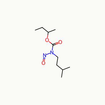 CCC(C)OC(=O)N(CCC(C)C)N=O